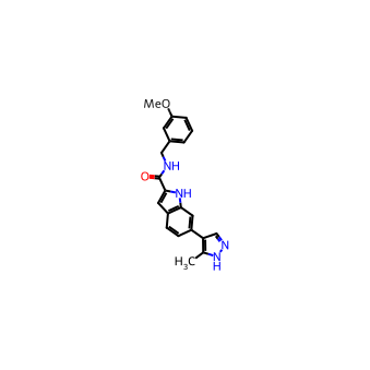 COc1cccc(CNC(=O)c2cc3ccc(-c4cn[nH]c4C)cc3[nH]2)c1